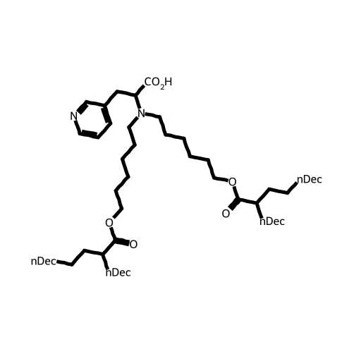 CCCCCCCCCCCCC(CCCCCCCCCC)C(=O)OCCCCCCN(CCCCCCOC(=O)C(CCCCCCCCCC)CCCCCCCCCCCC)C(Cc1cccnc1)C(=O)O